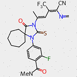 C=N/C(C#N)=C(\C=C(/C)N1C(=O)C2(CCCCCC2)N(c2ccc(C(=O)NC)c(F)c2)C1=S)C(F)(F)F